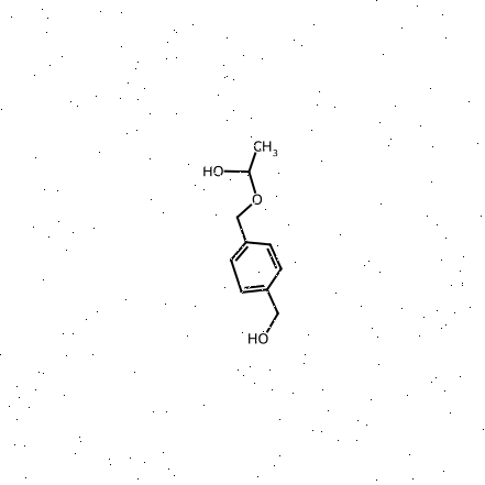 CC(O)OCc1ccc(CO)cc1